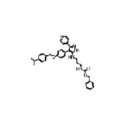 CC(C)c1ccc(COc2ccc(-c3c(-c4ccncc4)n[nH]c3NCCCNC(=O)OCc3ccccc3)cc2)cc1